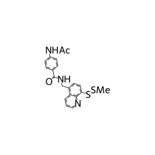 CSSc1ccc(CNC(=O)c2ccc(NC(C)=O)cc2)c2cccnc12